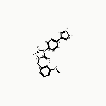 COc1cccc(Cn2nnn(-c3ccc(-c4cn[nH]c4)cc3)c2=O)c1